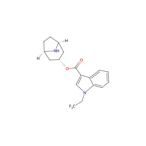 O=C(O[C@@H]1C[C@H]2CC[C@@H](C1)N2)c1cn(CC(F)(F)F)c2ccccc12